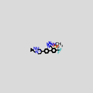 CS(=O)(=O)c1c(C(F)(F)F)ccc(-c2ccc(C3CCN(CC4(N)CC4)CC3)cc2)c1-c1nnn[nH]1